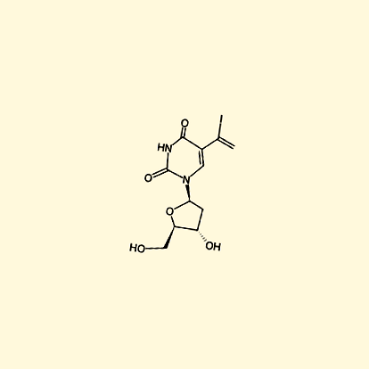 C=C(I)c1cn([C@H]2C[C@H](O)[C@@H](CO)O2)c(=O)[nH]c1=O